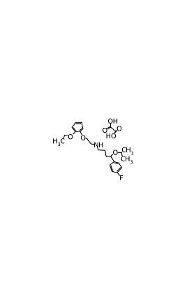 CCOc1ccccc1OCCNCCCC(OC(C)C)c1ccc(F)cc1.O=C(O)C(=O)O